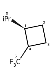 CC(C)[C@H]1CCC1C(F)(F)F